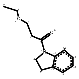 CCOCCC(=O)N1CCc2ccccc21